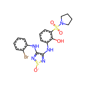 O=S(=O)(c1cccc(Nc2n[s+]([O-])nc2Nc2ccccc2Br)c1O)N1CCCC1